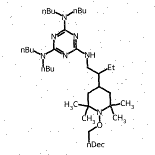 CCCCCCCCCCCON1C(C)(C)CC(C(CC)CNc2nc(N(CCCC)CCCC)nc(N(CCCC)CCCC)n2)CC1(C)C